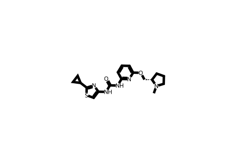 CN1CCC[C@H]1COc1cccc(NC(=O)Nc2csc(C3CC3)n2)n1